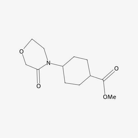 COC(=O)C1CCC(N2CCOCC2=O)CC1